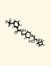 CC1(NC(O)CN2CCC(CNC(=O)c3cccc(C(F)(F)F)c3)CC2)CCC1